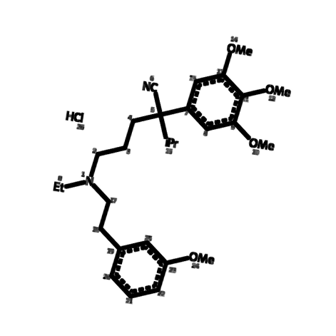 CCN(CCCC(C#N)(c1cc(OC)c(OC)c(OC)c1)C(C)C)CCc1cccc(OC)c1.Cl